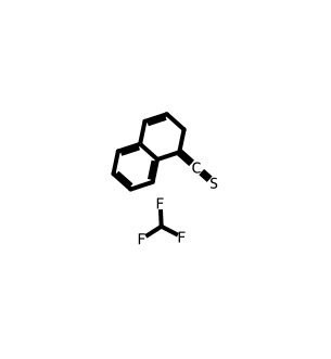 FC(F)F.S=C=C1CC=Cc2ccccc21